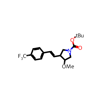 COC1CN(C(=O)OC(C)(C)C)CC1C=Cc1ccc(C(F)(F)F)cc1